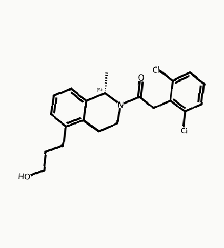 C[C@H]1c2cccc(CCCO)c2CCN1C(=O)Cc1c(Cl)cccc1Cl